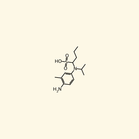 CCCC(N(c1ccc(N)c(C)c1)C(C)C)S(=O)(=O)O